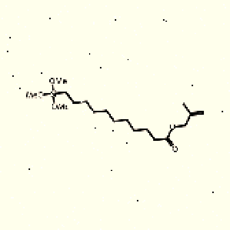 C=C(C)COC(=O)CCCCCCCCCC[Si](OC)(OC)OC